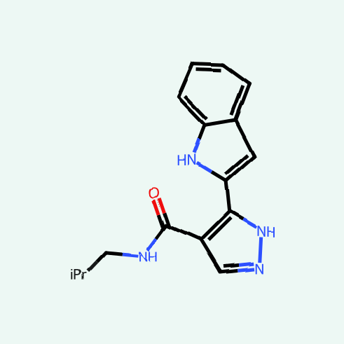 CC(C)CNC(=O)c1cn[nH]c1-c1cc2ccccc2[nH]1